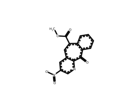 COC(=O)c1cc2cc([N+](=O)[O-])cnc2c(=O)c2ccccc12